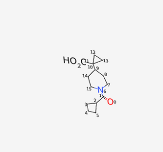 O=C(C1CCC1)N1CCC(C2(C(=O)O)CC2)CC1